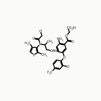 CCOC(=O)COC(=O)c1cc(Oc2ccc(C(F)(F)F)cc2Cl)ccc1[N+](=O)[O-].COCC(C)N(C(=O)CCl)c1c(C)csc1C